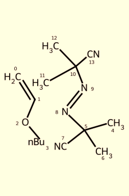 C=COCCCC.CC(C)(C#N)N=NC(C)(C)C#N